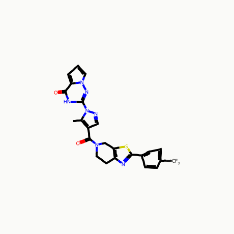 Cc1c(C(=O)N2CCc3nc(-c4ccc(C(F)(F)F)cc4)sc3C2)cnn1-c1nn2cccc2c(=O)[nH]1